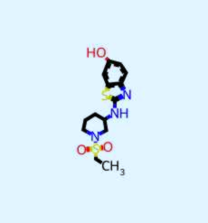 CCS(=O)(=O)N1CCCC(Nc2nc3ccc(O)cc3s2)C1